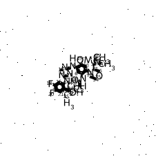 C=CC(=O)Nc1cc(Nc2ncnc(Nc3cc(F)c(F)cc3C(C)(C)O)n2)c(OC)cc1N1CCOC[C@@H]1CN(C)C